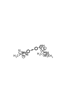 CC[C@H](C)C(=O)N1CCC[C@H]1c1nc2cc(C#Cc3ccc(-c4c[nH]c([C@@H]5CCCN5C(=O)[C@@H](NC(=O)OC)C(C)C)n4)cc3)ccc2[nH]1